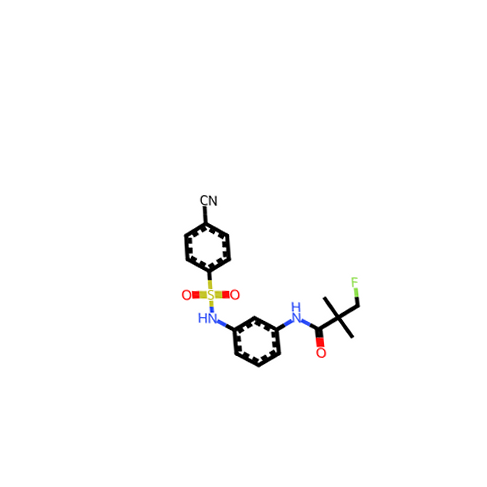 CC(C)(CF)C(=O)Nc1cccc(NS(=O)(=O)c2ccc(C#N)cc2)c1